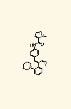 C/N=C\C(=C/c1ccc(NC(=O)c2ccnn2C)cc1)c1ccccc1N1CCCCC1